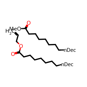 C=CCOC(=O)CCCCCCCCCCCCCCCCC.CCCCCCCCCCCCCCCCCC(=O)OC